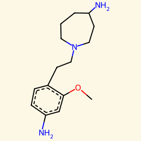 COc1cc(N)ccc1CCN1CCCC(N)CC1